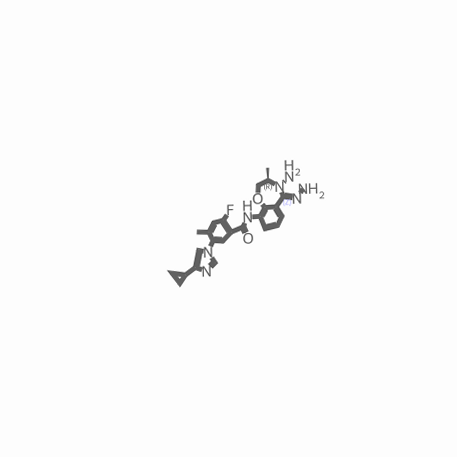 Cc1cc(F)c(C(=O)Nc2cccc3c2OC[C@@H](C)N(N)/C3=N\N)cc1-n1cnc(C2CC2)c1